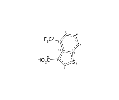 O=C(O)c1csc2cccc(C(F)(F)F)c12